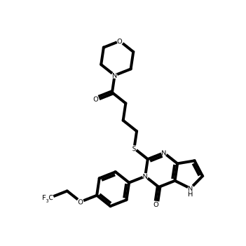 O=C(CCCSc1nc2cc[nH]c2c(=O)n1-c1ccc(OCC(F)(F)F)cc1)N1CCOCC1